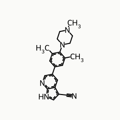 Cc1cc(-c2cnc3[nH]cc(C#N)c3c2)cc(C)c1N1CCN(C)CC1